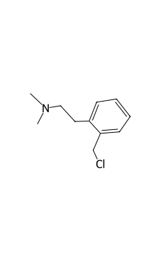 CN(C)CCc1ccccc1CCl